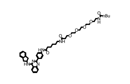 CCCCC(=O)NCCOCCOCCOCCOCCC(=O)NCCCCCC(=O)Nc1ccc(-c2nc(NC3Cc4ccccc4C3)c3ccccc3n2)cc1